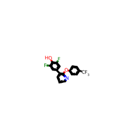 Oc1c(F)cc(-c2cccnc2Oc2ccc(C(F)(F)F)cc2)cc1F